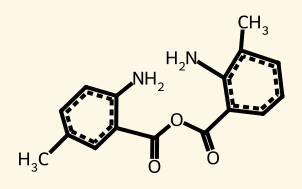 Cc1ccc(N)c(C(=O)OC(=O)c2cccc(C)c2N)c1